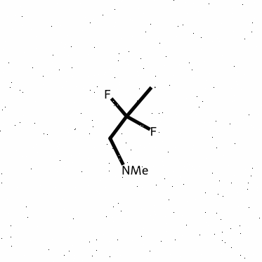 [CH2]C(F)(F)CNC